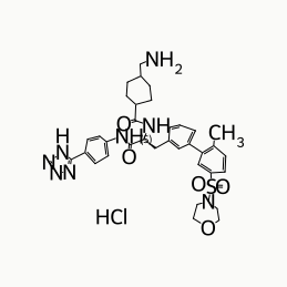 Cc1ccc(S(=O)(=O)N2CCOCC2)cc1-c1cccc(C[C@H](NC(=O)C2CCC(CN)CC2)C(=O)Nc2ccc(-c3nnn[nH]3)cc2)c1.Cl